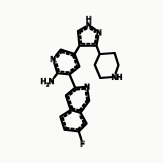 Nc1ncc(-c2c[nH]nc2C2CCNCC2)cc1-c1cc2ccc(F)cc2cn1